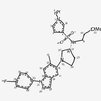 CCCn1ccc(S(=O)(=O)N(CCOC)[C@@H]2CCN(c3cc4cnn(-c5ccc(F)cc5)c4cc3C)C2)c1